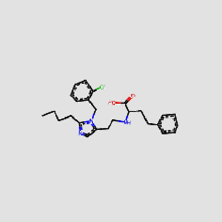 CCCCc1ncc(CCN[C@H](CCc2ccccc2)C(=O)O)n1Cc1ccccc1Cl